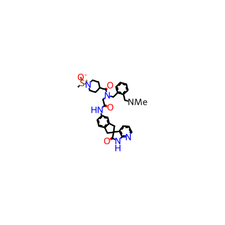 CNCc1ccccc1CN(CC(=O)Nc1ccc2c(c1)CC1(C2)C(=O)Nc2ncccc21)C(=O)C1CCN([S+](C)[O-])CC1